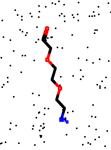 NCCOCCOCC=O